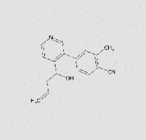 C=CCC(O)c1ccncc1-c1ccc(C#N)c(C)c1